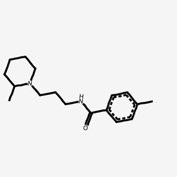 Cc1ccc(C(=O)NCCCN2CCCCC2C)cc1